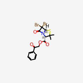 CC1(C)S[C@H]2N(C(=O)C2(Br)Br)[C@H]1C(=O)OCC(=O)c1ccccc1